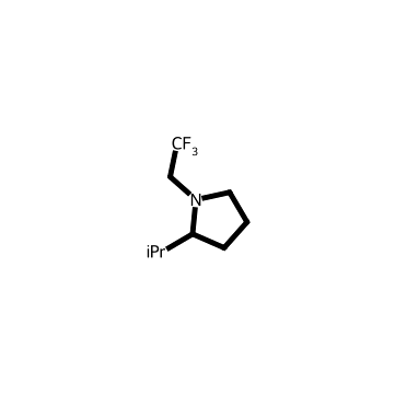 CC(C)C1CCCN1CC(F)(F)F